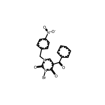 O=C(c1ccccc1)c1cn(Cc2ccc([N+](=O)[O-])cc2)c(=O)n(Br)c1=O